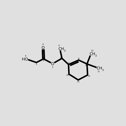 CC(OC(=O)CO)C1=CC(C)(C)CCC1